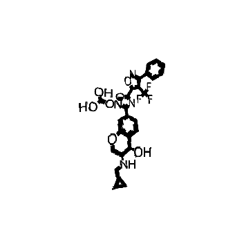 O=C(O)O.O[C@@H]1c2ccc(-c3noc(-c4onc(-c5ccccc5)c4C(F)(F)F)n3)cc2OC[C@@H]1NCC1CC1